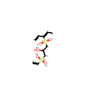 C=CC(=CC)S(=O)(=O)CC(O)CS(=O)(=O)C=C